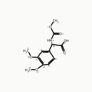 COC(=O)N[C@H](C(=O)O)c1ccc(OC)c(OC)c1